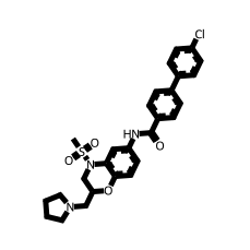 CS(=O)(=O)N1CC(CN2CCCC2)Oc2ccc(NC(=O)c3ccc(-c4ccc(Cl)cc4)cc3)cc21